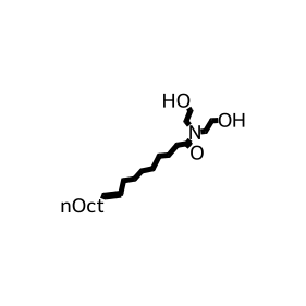 CCCCCCCC/C=C/CCCCCCCC(=O)N(CCO)CCO